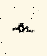 CC(C)c1ccc(OC(=O)O)cc1.Cl